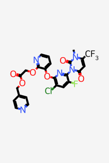 Cn1c(C(F)(F)F)cc(=O)n(-c2nc(Oc3cccnc3OCC(=O)OCc3ccncc3)c(Cl)cc2F)c1=O